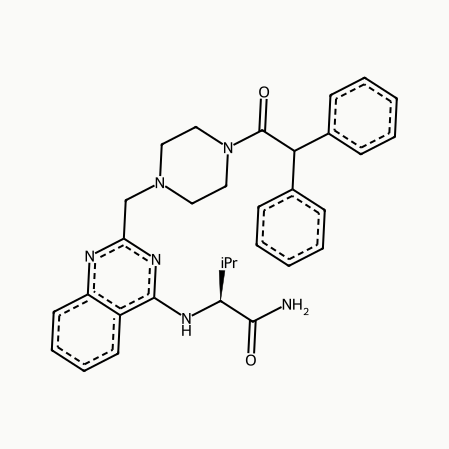 CC(C)[C@H](Nc1nc(CN2CCN(C(=O)C(c3ccccc3)c3ccccc3)CC2)nc2ccccc12)C(N)=O